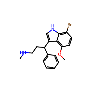 CNCCC(c1ccccc1)c1c[nH]c2c(Br)ccc(OC)c12